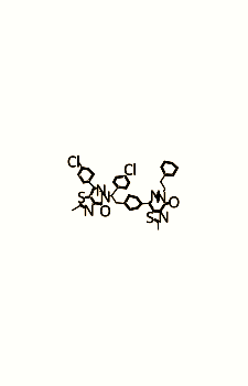 Cc1nc2c(=O)n(CCc3ccccc3)nc(-c3ccc(CC(c4ccc(Cl)cc4)n4nc(-c5ccc(Cl)cc5)c5sc(C)nc5c4=O)cc3)c2s1